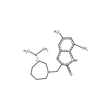 Cc1cc(C)c2[nH]c(=O)c(CN3CCCC[C@H](N(C)C)C3)cc2c1